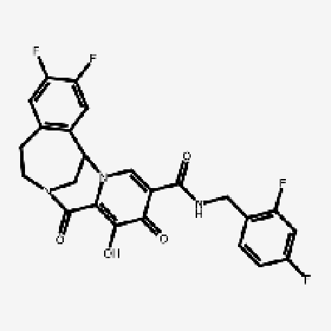 O=C(NCc1ccc(F)cc1F)c1cn2c(c(O)c1=O)C(=O)N1CCc3cc(F)c(F)cc3C2C1